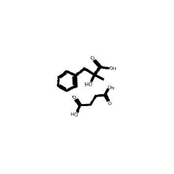 CC(O)(Cc1ccccc1)C(=O)O.O=C(O)CCC(=O)O